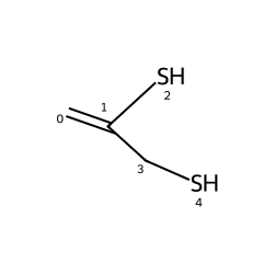 C=C(S)CS